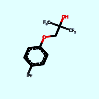 CC(C)c1ccc(OCC(O)(C(F)(F)F)C(F)(F)F)cc1